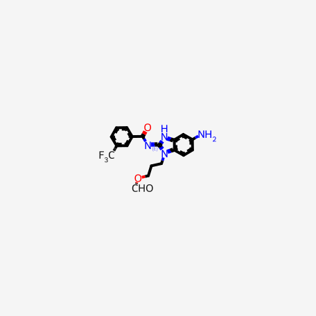 Nc1ccc2c(c1)[nH]/c(=N\C(=O)c1cccc(C(F)(F)F)c1)n2CCCOC=O